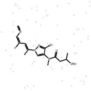 C=N/C=C(F)\C=C(/C)n1cc(N(C)C(=O)CC(C)SC)c(CC)n1